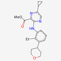 CCc1c(Nc2ncc(C3CC3)nc2C(=O)OC)cccc1C1CCOCC1